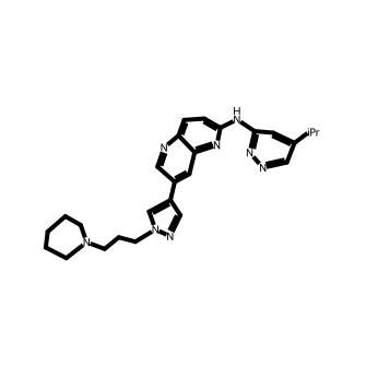 CC(C)c1cnnc(Nc2ccc3ncc(-c4cnn(CCCN5CCCCC5)c4)cc3n2)c1